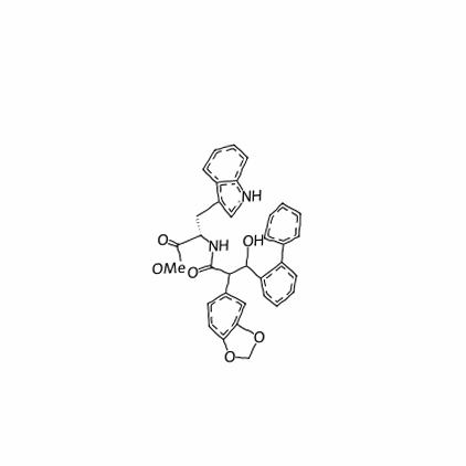 COC(=O)[C@H](Cc1c[nH]c2ccccc12)NC(=O)C(c1ccc2c(c1)OCO2)C(O)c1ccccc1-c1ccccc1